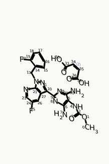 COC(=O)Nc1c(N)nc(-c2nn(Cc3ccccc3F)c3ncc(F)cc23)nc1N.O=C(O)/C=C\C(=O)O